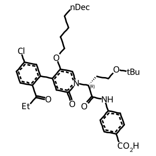 CCCCCCCCCCCCCCOc1cn([C@H](CCOC(C)(C)C)C(=O)Nc2ccc(C(=O)O)cc2)c(=O)cc1-c1cc(Cl)ccc1C(=O)CC